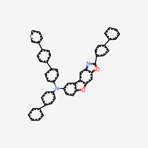 c1ccc(-c2ccc(-c3ccc(N(c4ccc(-c5ccccc5)cc4)c4ccc5oc6cc7oc(-c8ccc(-c9ccccc9)cc8)nc7cc6c5c4)cc3)cc2)cc1